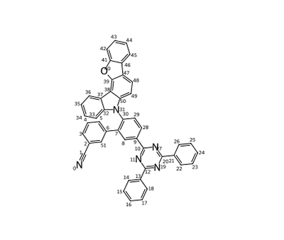 N#Cc1cccc(-c2cc(-c3nc(-c4ccccc4)nc(-c4ccccc4)n3)ccc2-n2c3ccccc3c3c4oc5ccccc5c4ccc32)c1